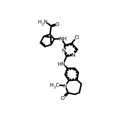 CN1C(=O)CCCc2ccc(Nc3ncc(Cl)c(NC4C5C=CC(C5)C4C(N)=O)n3)cc21